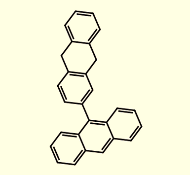 c1ccc2c(c1)Cc1ccc(-c3c4ccccc4cc4ccccc34)cc1C2